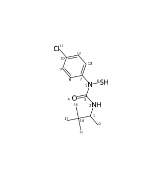 CC(NC(=O)N(S)c1ccc(Cl)cc1)C(C)(C)C